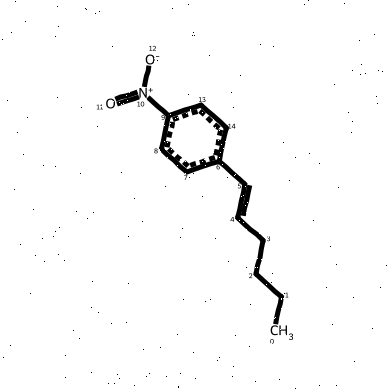 CCCC/C=C/c1ccc([N+](=O)[O-])cc1